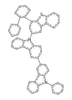 c1ccc(-c2ccccc2-c2cc(-n3c4ccccc4c4cc(-c5ccc6c(c5)c5ccccc5n6-c5ccccc5)ccc43)cc3c2sc2ccccc23)cc1